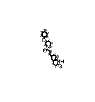 O=C1CCc2cc(/C=C/C(=O)N3CCCC(Oc4ccccc4)C3)cnc2N1